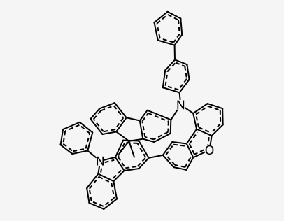 CC1(C)c2ccccc2-c2cc(N(c3ccc(-c4ccccc4)cc3)c3cccc4oc5ccc(-c6ccc7c(c6)c6ccccc6n7-c6ccccc6)cc5c34)ccc21